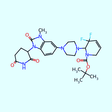 Cn1c(=O)n(C2CCC(=O)NC2=O)c2ccc(N3CCN(C4N(C(=O)OC(C)(C)C)CC=CC4(F)F)CC3)cc21